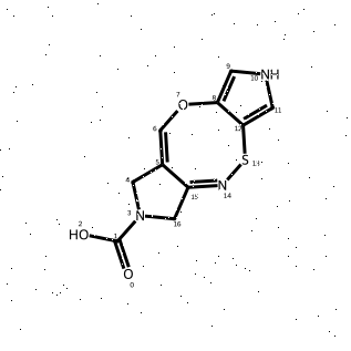 O=C(O)N1Cc2coc3c[nH]cc3snc2C1